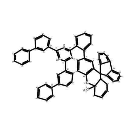 CC12CC=CCC1C1(c3cc(-c4ccccc4-c4nc(-c5cccc(-c6ccccc6)c5)nc(-c5cccc(-c6ccccc6)c5)n4)ccc3O2)c2ccccc2-c2ccccc21